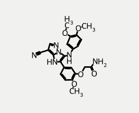 COc1ccc(Nc2c(-c3ccc(OC)c(OCC(N)=O)c3)[nH]c3c(C#N)cnn23)cc1OC